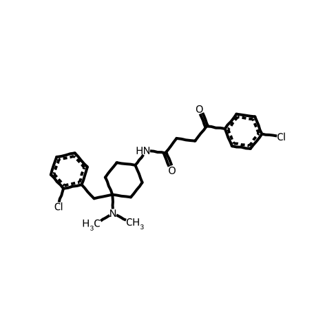 CN(C)C1(Cc2ccccc2Cl)CCC(NC(=O)CCC(=O)c2ccc(Cl)cc2)CC1